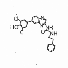 O=C(NCCc1ccccc1)Nc1cnc2ccc(-c3cc(Cl)c(O)c(Cl)c3)cc2n1